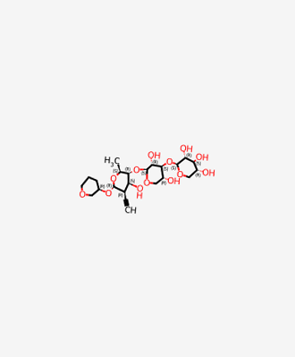 C#C[C@H]1[C@H](O[C@@H]2CCCOC2)O[C@@H](C)[C@H](O[C@@H]2OC[C@@H](O)[C@H](O[C@@H]3OC[C@@H](O)[C@H](O)[C@H]3O)[C@H]2O)[C@H]1O